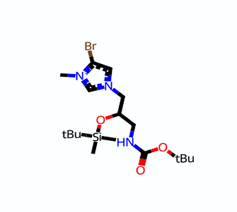 C[n+]1cn(CC(CNC(=O)OC(C)(C)C)O[Si](C)(C)C(C)(C)C)cc1Br